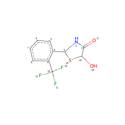 O=C1NC(c2ccccc2C(F)(F)F)SC1O